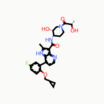 Cc1[nH]c2c(-c3cc(F)ccc3OCC3CC3)ccnc2c1C(=O)N[C@H]1CCN(C(=O)[C@H](C)O)C[C@H]1O